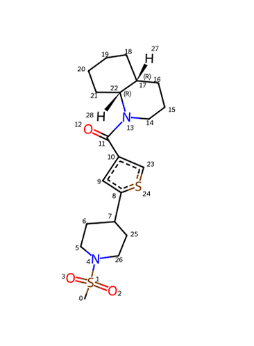 CS(=O)(=O)N1CCC(c2cc(C(=O)N3CCC[C@H]4CCCC[C@H]43)cs2)CC1